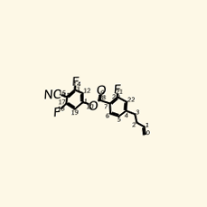 C=CCCc1ccc(C(=O)Oc2cc(F)c(C#N)c(F)c2)c(F)c1